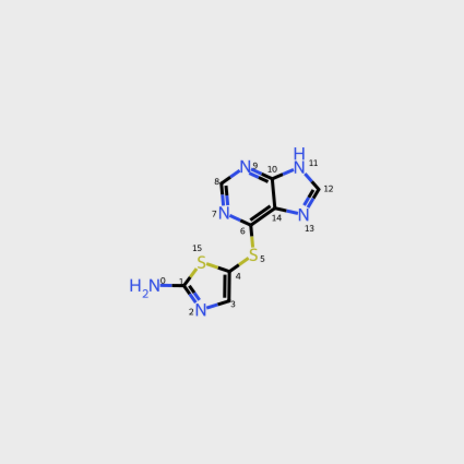 Nc1ncc(Sc2ncnc3[nH]cnc23)s1